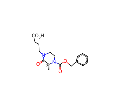 C[C@H]1C(=O)N(CCCC(=O)O)CCN1C(=O)OCc1ccccc1